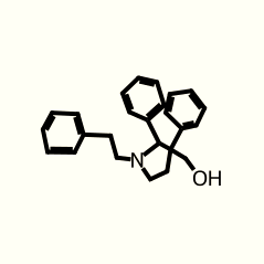 OCC1(c2ccccc2)CCN(CCc2ccccc2)C1c1ccccc1